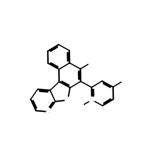 CCc1cc[n+](C)c(-c2c(C)c3ccccc3c3c2oc2ncccc23)c1